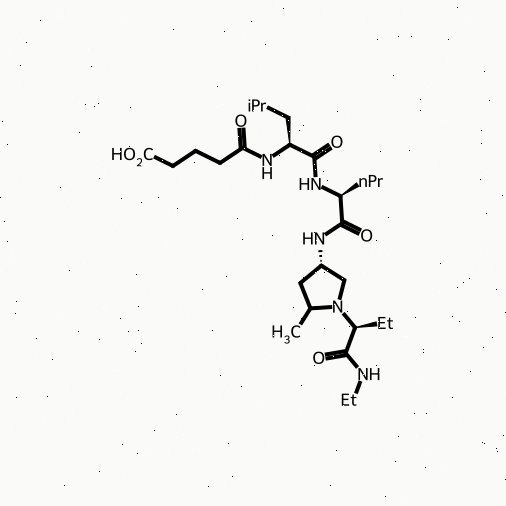 CCC[C@H](NC(=O)[C@H](CC(C)C)NC(=O)CCCC(=O)O)C(=O)N[C@H]1CC(C)N([C@@H](CC)C(=O)NCC)C1